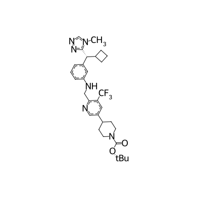 Cn1cnnc1[C@@H](c1cccc(NCc2ncc(C3CCN(C(=O)OC(C)(C)C)CC3)cc2C(F)(F)F)c1)C1CCC1